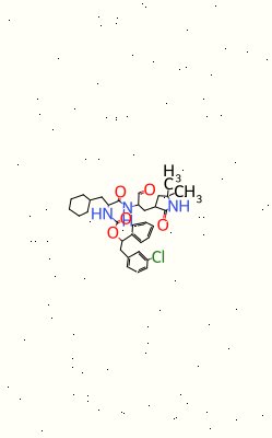 CC1(C)CC(CC(C=O)NC(=O)C(CC2CCCCC2)NC(=O)OC(Cc2cccc(Cl)c2)c2ccccc2)C(=O)N1